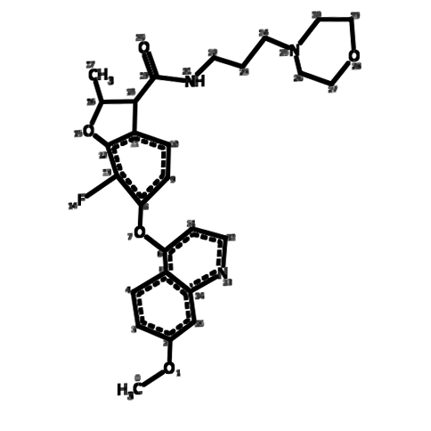 COc1ccc2c(Oc3ccc4c(c3F)OC(C)C4C(=O)NCCCN3CCOCC3)ccnc2c1